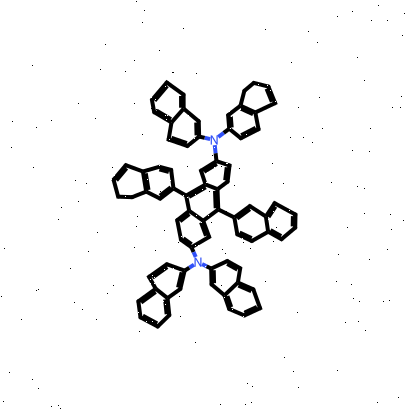 C1=Cc2ccc(-c3c4ccc(N(c5ccc6ccccc6c5)c5ccc6ccccc6c5)cc4c(-c4ccc5ccccc5c4)c4ccc(N(c5ccc6c(c5)CCC=C6)c5ccc6ccccc6c5)cc34)cc2CC1